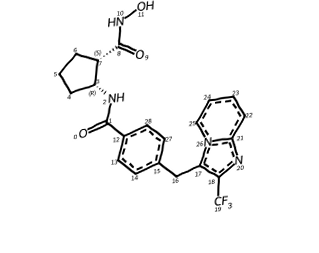 O=C(N[C@@H]1CCC[C@@H]1C(=O)NO)c1ccc(Cc2c(C(F)(F)F)nc3ccccn23)cc1